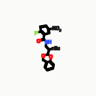 CCCCC(CNC(=O)c1cc([N+](=O)[O-])ccc1F)C1OCc2ccccc2O1